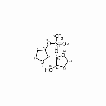 O=S(=O)(OC1CCOC1)C(F)(F)F.OC1CCOC1